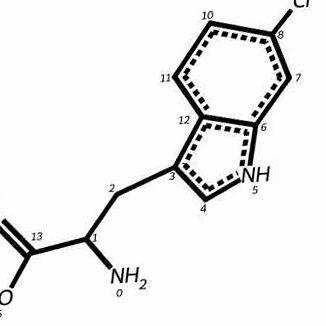 NC(Cc1c[nH]c2cc(Cl)ccc12)C(=O)O